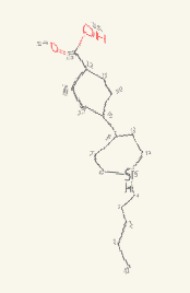 CCCCC[SiH]1CCC(C2CCC(C(=O)O)CC2)CC1